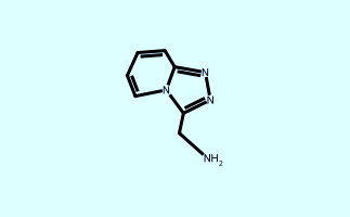 NCc1nnc2ccccn12